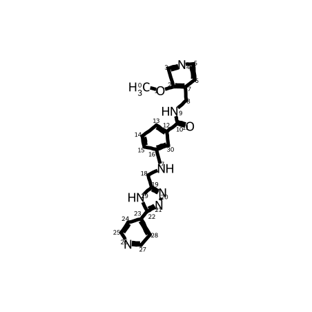 COc1cnccc1CNC(=O)c1cccc(NCc2nnc(-c3ccncc3)[nH]2)c1